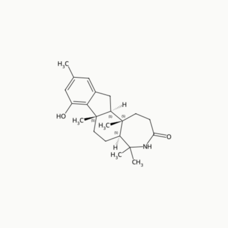 Cc1cc(O)c2c(c1)C[C@H]1[C@]3(C)CCC(=O)NC(C)(C)[C@H]3CC[C@]21C